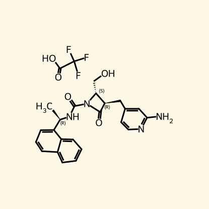 C[C@@H](NC(=O)N1C(=O)[C@H](Cc2ccnc(N)c2)[C@H]1CO)c1cccc2ccccc12.O=C(O)C(F)(F)F